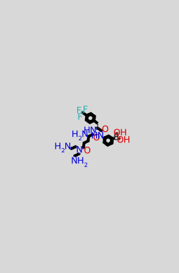 NCCN(CCN)C(=O)CC[C@H](N)C(=O)N[C@H](Cc1ccc(C(F)(F)F)cc1)C(=O)Nc1cccc(B(O)O)c1